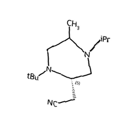 CC(C)N1C[C@H](CC#N)N(C(C)(C)C)CC1C